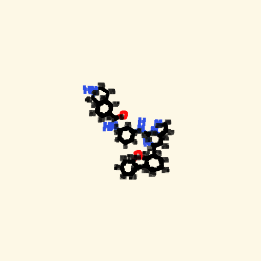 O=C(Nc1cccc(Nc2nc(-c3cccc4c3oc3ccccc34)cc3ccnn23)c1)c1ccc2c(c1)CCNC2